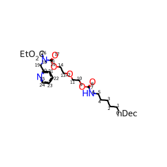 CCCCCCCCCCCCCCCNC(=O)OCCOCCOC(=O)N(Cc1ccccn1)C(=O)OCC